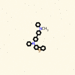 CN(c1ccccc1)c1ccc(-c2ccc(N(c3ccccc3)c3ccc4sc5ccccc5c4c3)cc2)cc1